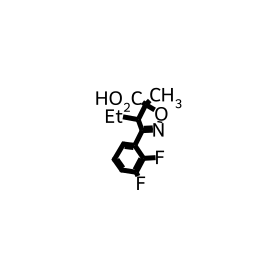 CCC1C(c2cccc(F)c2F)=NOC1(C)C(=O)O